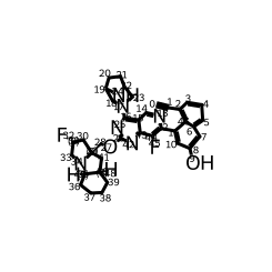 C#Cc1cccc2cc(O)cc(-c3ncc4c(N5CC6CCC(C5)N6)nc(OC[C@]56C[C@@H](F)CN5[C@H]5CCCC[C@H]5C6)nc4c3F)c12